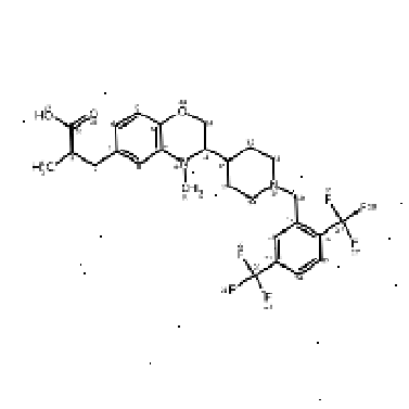 CC(Cc1ccc2c(c1)N(C)C(C1CCN(Cc3cc(C(F)(F)F)ccc3C(F)(F)F)CC1)CO2)C(=O)O